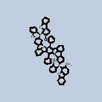 Cc1ccccc1N(c1ccc2c3cccc4c5c(-c6ccccc6)c6c(c(-c7ccccc7)c5n(c2c1)c34)c1cccc2c3ccc(N(c4ccccc4C)c4c(C)ccc5c4oc4ccccc45)cc3n6c21)c1c(C)ccc2c3c(oc12)CCC=C3